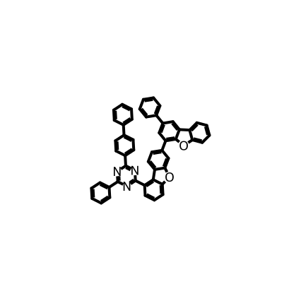 c1ccc(-c2ccc(-c3nc(-c4ccccc4)nc(-c4cccc5oc6cc(-c7cc(-c8ccccc8)cc8c7oc7ccccc78)ccc6c45)n3)cc2)cc1